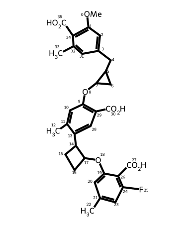 COc1cc(CC2CC2Oc2cc(C)c(C3CCC3Oc3cc(C)cc(F)c3C(=O)O)cc2C(=O)O)cc(C)c1C(=O)O